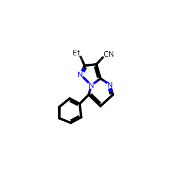 CCc1nn2c(C3=CCCC=C3)ccnc2c1C#N